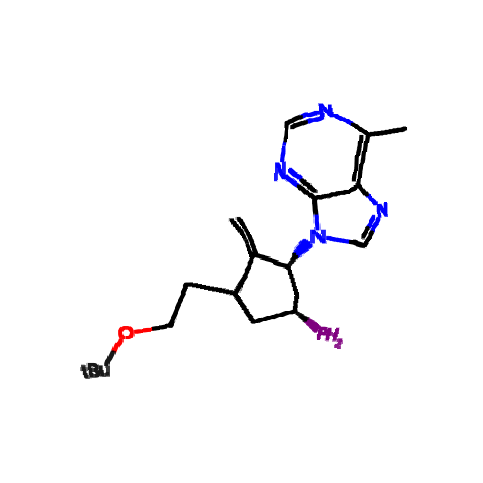 C=C1C(CCOC(C)(C)C)C[C@H](P)[C@@H]1n1cnc2c(C)ncnc21